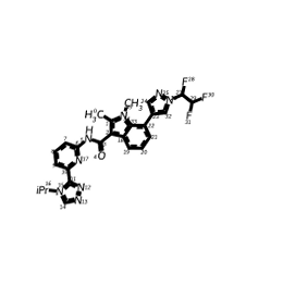 Cc1c(C(=O)Nc2cccc(-c3nncn3C(C)C)n2)c2cccc(-c3cnn(C(F)C(F)F)c3)c2n1C